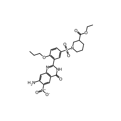 CCCOc1ccc(S(=O)(=O)N2CCCC(C(=O)OCC)C2)cc1-c1nc2cc(N)c([N+](=O)[O-])cc2c(=O)[nH]1